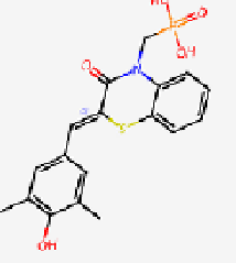 Cc1cc(/C=C2\Sc3ccccc3N(CP(=O)(O)O)C2=O)cc(C)c1O